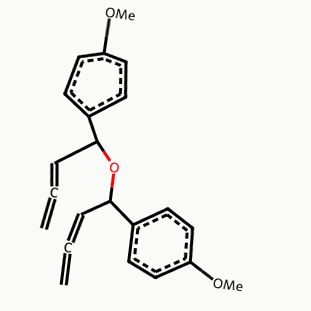 C=C=CC(OC(C=C=C)c1ccc(OC)cc1)c1ccc(OC)cc1